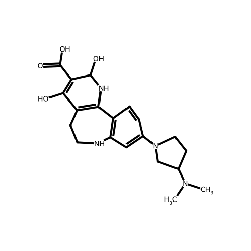 CN(C)C1CCN(c2ccc3c(c2)NCCC2=C3NC(O)C(C(=O)O)=C2O)C1